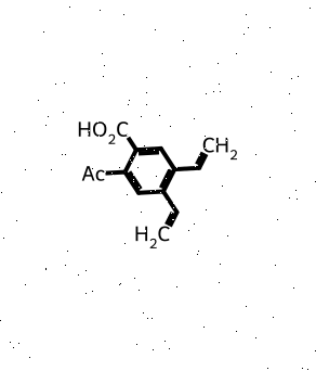 C=Cc1cc(C(C)=O)c(C(=O)O)cc1C=C